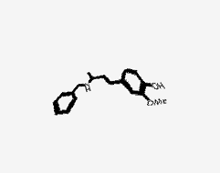 COc1cc(CCC(C)NCc2ccccc2)ccc1O